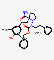 COc1cc(CC[C@@]2(C(N)=O)CCCN2N(C(=O)OCc2ccccc2)[C@H](Cc2ccccc2)C(=O)O)cc(OC)c1O